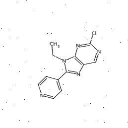 CCn1c(-c2ccncc2)nc2cnc(Cl)nc21